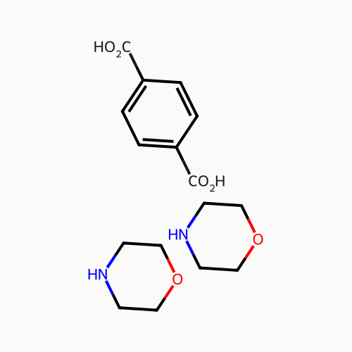 C1COCCN1.C1COCCN1.O=C(O)c1ccc(C(=O)O)cc1